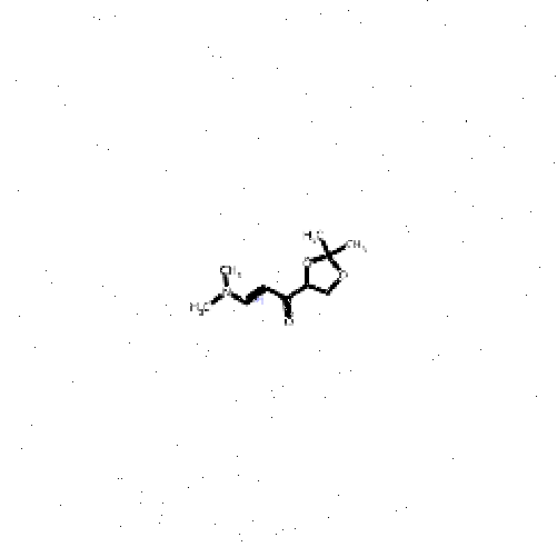 CN(C)/C=C/C(=O)C1COC(C)(C)O1